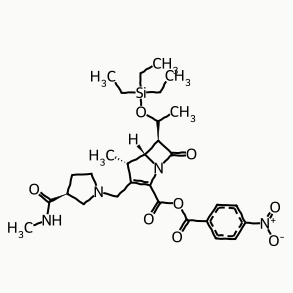 CC[Si](CC)(CC)OC(C)[C@H]1C(=O)N2C(C(=O)OC(=O)c3ccc([N+](=O)[O-])cc3)=C(CN3CC[C@H](C(=O)NC)C3)[C@H](C)[C@H]12